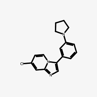 Clc1ccn2c(-c3cccc(N4CCCC4)c3)cnc2c1